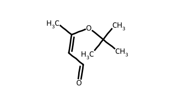 CC(=CC=O)OC(C)(C)C